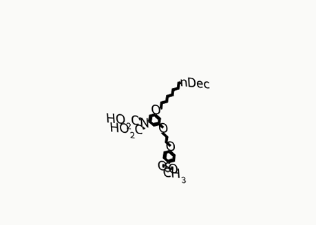 CCCCCCCCCCCCCCCCCCOc1cc(OCCCOc2ccc(S(C)(=O)=O)cc2)cc(N(CC(=O)O)CC(=O)O)c1